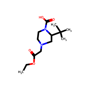 CCOC(=O)CN1CCN(C(=O)O)C(C(C)(C)C)C1